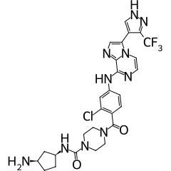 N[C@@H]1CC[C@H](NC(=O)N2CCN(C(=O)c3ccc(Nc4nccn5c(-c6c[nH]nc6C(F)(F)F)cnc45)cc3Cl)CC2)C1